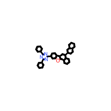 c1ccc(-c2nc(-c3ccccc3)nc(-c3ccc4c(c3)oc3c5ccccc5c(-c5ccc6ccccc6c5)cc43)n2)cc1